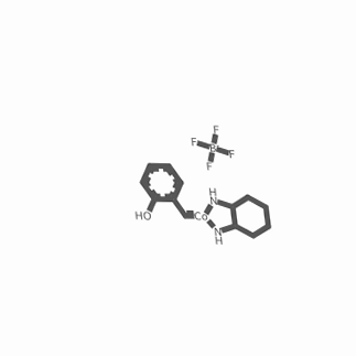 F[B-](F)(F)F.Oc1ccccc1[CH]=[Co]1[NH]C2CCCCC2[NH]1